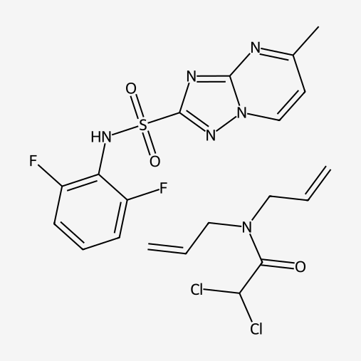 C=CCN(CC=C)C(=O)C(Cl)Cl.Cc1ccn2nc(S(=O)(=O)Nc3c(F)cccc3F)nc2n1